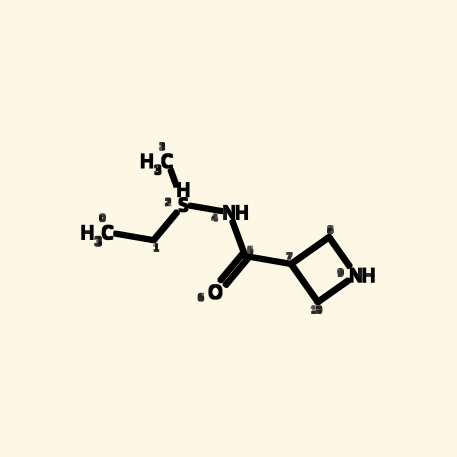 CC[SH](C)NC(=O)C1CNC1